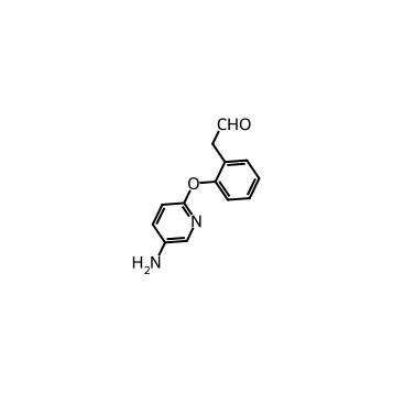 Nc1ccc(Oc2ccccc2CC=O)nc1